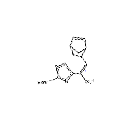 CC(=O)Nc1nc(/C(=C\C2CC3C=CC2C3)C(=O)O)cs1